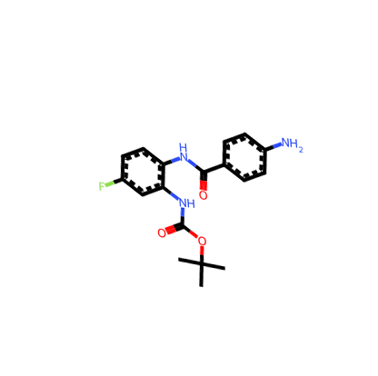 CC(C)(C)OC(=O)Nc1cc(F)ccc1NC(=O)c1ccc(N)cc1